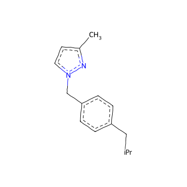 Cc1ccn(Cc2ccc(CC(C)C)cc2)n1